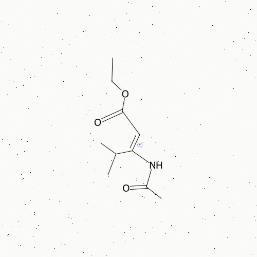 CCOC(=O)/C=C(/NC(C)=O)C(C)C